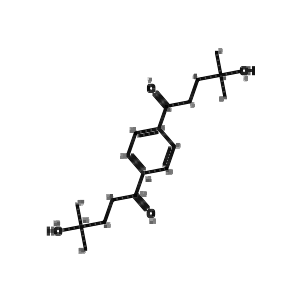 CC(C)(O)CCC(=O)c1ccc(C(=O)CCC(C)(C)O)cc1